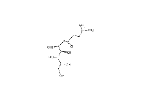 NC(CCC(=O)O[C@H](C=O)[C@@H](O)[C@H](O)[C@H](O)CO)C(=O)O